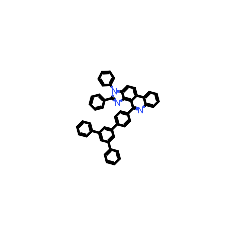 c1ccc(-c2cc(-c3ccccc3)cc(-c3ccc(-c4nc5ccccc5c5ccc6c(nc(-c7ccccc7)n6-c6ccccc6)c45)cc3)c2)cc1